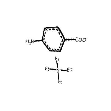 CC[N+](CC)(CC)CC.Nc1ccc(C(=O)[O-])cc1